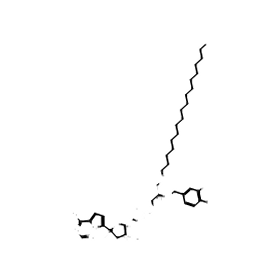 CCCCCCCCCCCCCCCCCCOC[C@H](COP(=O)(O)OC[C@H]1O[C@@](C)(c2ccc3c(N)ncnn23)C[C@@H]1O)OCc1ccc(F)c(Cl)c1